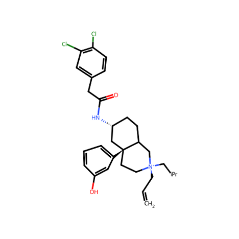 C=CC[N@@+]1(CC(C)C)CC[C@]2(c3cccc(O)c3)C[C@H](NC(=O)Cc3ccc(Cl)c(Cl)c3)CCC2C1